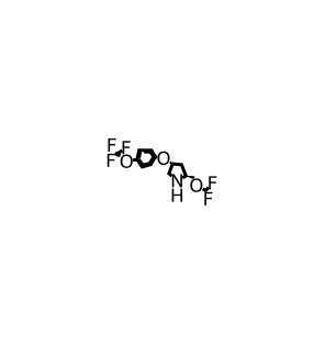 FC(F)OC[C@@H]1C[C@H](Oc2ccc(OC(F)(F)F)cc2)CN1